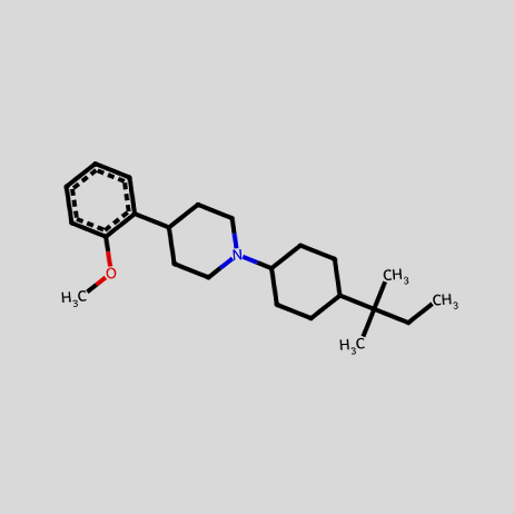 CCC(C)(C)C1CCC(N2CCC(c3ccccc3OC)CC2)CC1